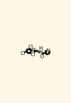 O=C(NCCCOc1c(Cl)cc(Cl)cc1Cl)c1cccnc1